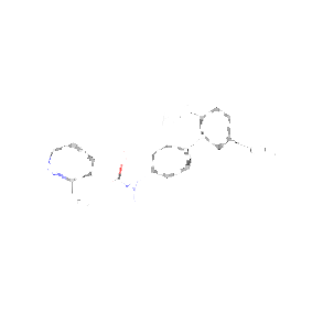 Cc1ncccc1OC(=O)Nc1ccc(-c2cc(C(F)(F)F)ccc2C(F)(F)F)cc1